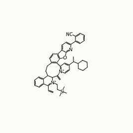 C=CC1=[N+](CC[Si](C)(C)C)C2C(=C)[n+]3ccc(C(C)C4CCCCC4)cc3-c3c(ccc4c3oc3nc(-c5ccccc5C#N)ccc34)CCC2c2ccccc21